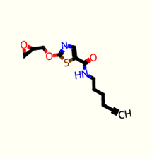 C#CCCCCNC(=O)c1cnc(OCC2CO2)s1